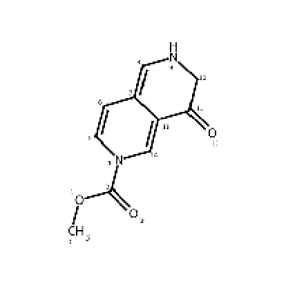 COC(=O)N1C=CC2=CNCC(=O)C2=C1